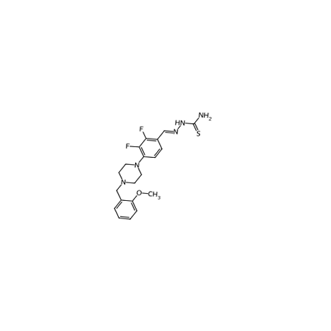 COc1ccccc1CN1CCN(c2ccc(C=NNC(N)=S)c(F)c2F)CC1